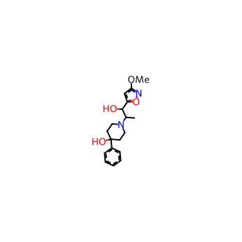 COc1cc(C(O)C(C)N2CCC(O)(c3ccccc3)CC2)on1